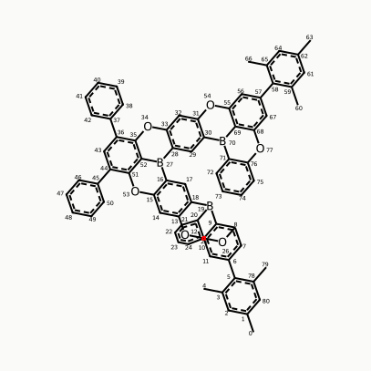 Cc1cc(C)c(-c2cc3c4c(c2)Oc2cc5c(cc2B4c2ccccc2O3)B2c3cc4c(cc3Oc3c(-c6ccccc6)cc(-c6ccccc6)c(c32)O5)Oc2cc(-c3c(C)cc(C)cc3C)cc3c2B4c2ccccc2O3)c(C)c1